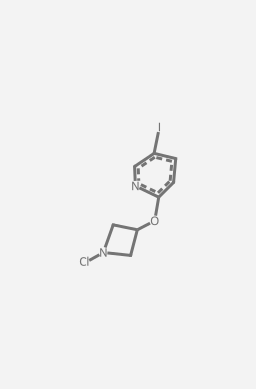 ClN1CC(Oc2ccc(I)cn2)C1